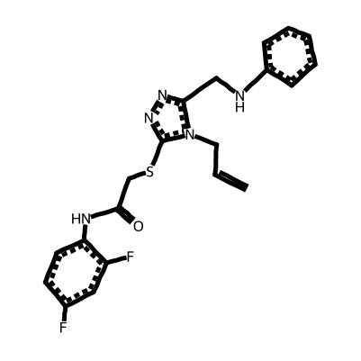 C=CCn1c(CNc2ccccc2)nnc1SCC(=O)Nc1ccc(F)cc1F